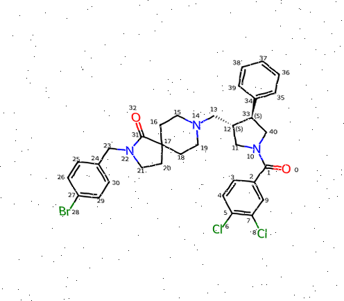 O=C(c1ccc(Cl)c(Cl)c1)N1C[C@H](CN2CCC3(CC2)CCN(Cc2ccc(Br)cc2)C3=O)[C@@H](c2ccccc2)C1